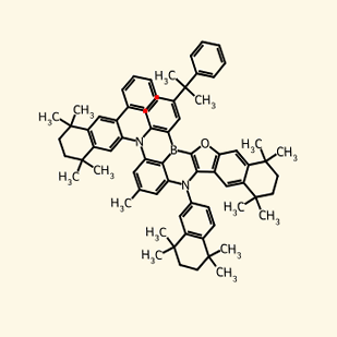 Cc1cc2c3c(c1)N(c1ccc4c(c1)C(C)(C)CCC4(C)C)c1c(oc4cc5c(cc14)C(C)(C)CCC5(C)C)B3c1cc(C(C)(C)c3ccccc3)ccc1N2c1cc2c(cc1-c1ccccc1)C(C)(C)CCC2(C)C